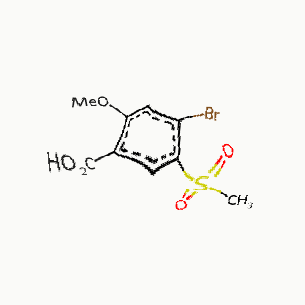 COc1cc(Br)c(S(C)(=O)=O)cc1C(=O)O